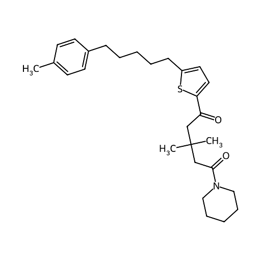 Cc1ccc(CCCCCc2ccc(C(=O)CC(C)(C)CC(=O)N3CCCCC3)s2)cc1